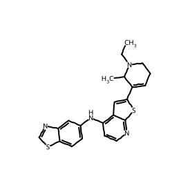 CCN1CCC=C(c2cc3c(Nc4ccc5scnc5c4)ccnc3s2)C1C